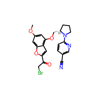 COc1cc(OC[C@@H]2CCCN2c2ccc(C#N)cn2)c2cc(C(=O)CBr)oc2c1